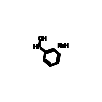 OPc1ccccc1.[NaH]